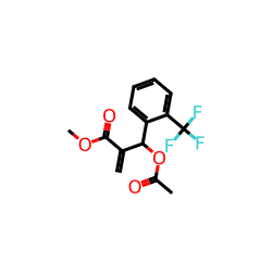 C=C(C(=O)OC)C(OC(C)=O)c1ccccc1C(F)(F)F